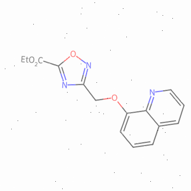 CCOC(=O)c1nc(COc2cccc3cccnc23)no1